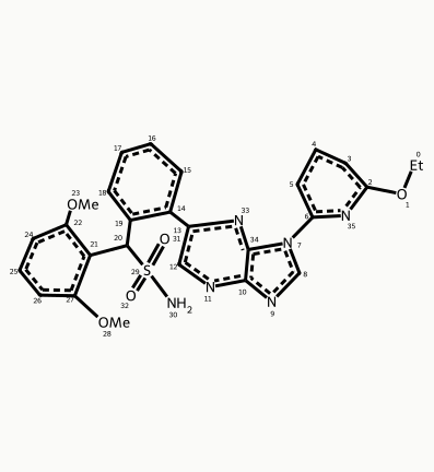 CCOc1cccc(-n2cnc3ncc(-c4ccccc4C(c4c(OC)cccc4OC)S(N)(=O)=O)nc32)n1